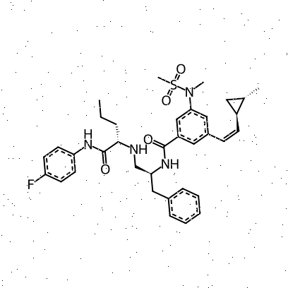 CCC[C@H](NC[C@H](Cc1ccccc1)NC(=O)c1cc(/C=C\[C@H]2C[C@@H]2C)cc(N(C)S(C)(=O)=O)c1)C(=O)Nc1ccc(F)cc1